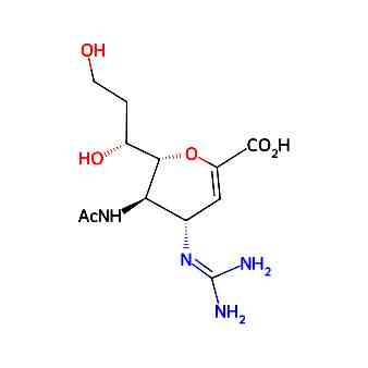 CC(=O)N[C@H]1[C@H]([C@H](O)CCO)OC(C(=O)O)=C[C@@H]1N=C(N)N